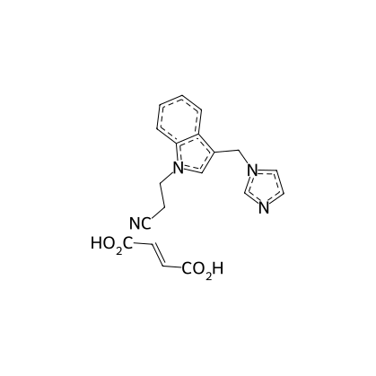 N#CCCn1cc(Cn2ccnc2)c2ccccc21.O=C(O)/C=C/C(=O)O